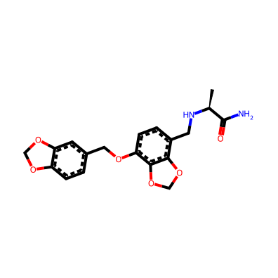 C[C@H](NCc1ccc(OCc2ccc3c(c2)OCO3)c2c1OCO2)C(N)=O